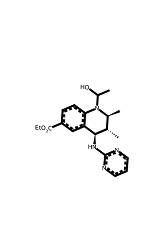 CCOC(=O)c1ccc2c(c1)[C@H](Nc1ncccn1)[C@@H](C)[C@H](C)N2C(C)O